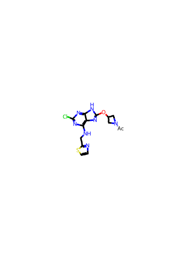 CC(=O)N1CC(Oc2nc3c(NCc4nccs4)nc(Cl)nc3[nH]2)C1